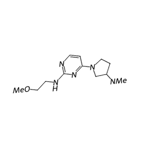 CNC1CCN(c2ccnc(NCCOC)n2)C1